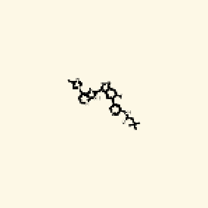 Cc1cn(-c2ccnc3[nH]c(-c4n[nH]c5cc(F)c(-c6cncc(NC(=O)CC(C)(C)C)c6)cc45)nc23)cn1